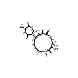 CC1C[C@H](O[C@@H]2C(C)C(=O)OC[C@@](C)(O)C(O)C(C)N(C)C[C@H](C)CCC[C@H]2C)OC(C)[C@H](O)C1